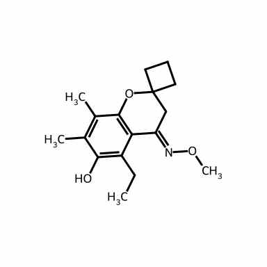 CCc1c(O)c(C)c(C)c2c1C(=NOC)CC1(CCC1)O2